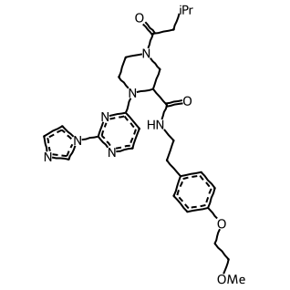 COCCOc1ccc(CCNC(=O)C2CN(C(=O)CC(C)C)CCN2c2ccnc(-n3ccnc3)n2)cc1